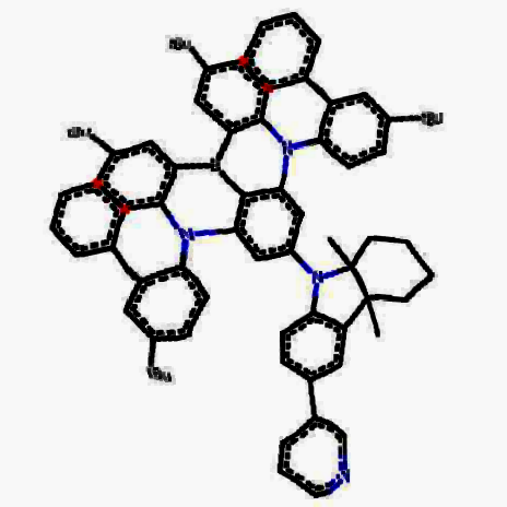 CC(C)(C)c1ccc2c(c1)B1c3cc(C(C)(C)C)ccc3N(c3ccc(C(C)(C)C)cc3-c3ccccc3)c3cc(N4c5ccc(-c6cccnc6)cc5C5(C)CCCCC45C)cc(c31)N2c1ccc(C(C)(C)C)cc1-c1ccccc1